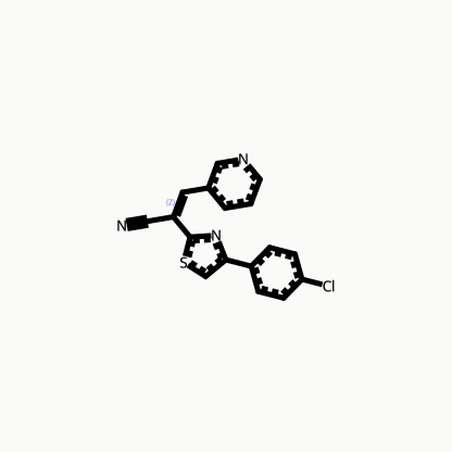 N#C/C(=C/c1cccnc1)c1nc(-c2ccc(Cl)cc2)cs1